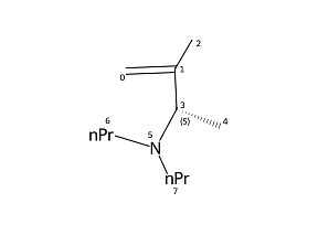 C=C(C)[C@H](C)N(CCC)CCC